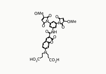 COC1=CC(=O)N(c2cc(NC(=O)c3cc4ccc(N(CCC(=O)O)CCC(=O)O)cc4oc3=O)cc(N3C(=O)C=C(OC)C3=O)c2)C1=O